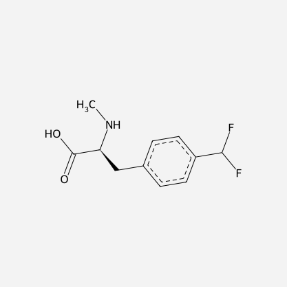 CN[C@@H](Cc1ccc(C(F)F)cc1)C(=O)O